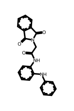 O=C(CN1C(=O)c2ccccc2C1=O)Nc1ccccc1Nc1ccccc1